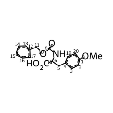 [CH2-][OH+]c1ccc(CC(NC(=O)OCc2ccccc2)C(=O)O)cc1